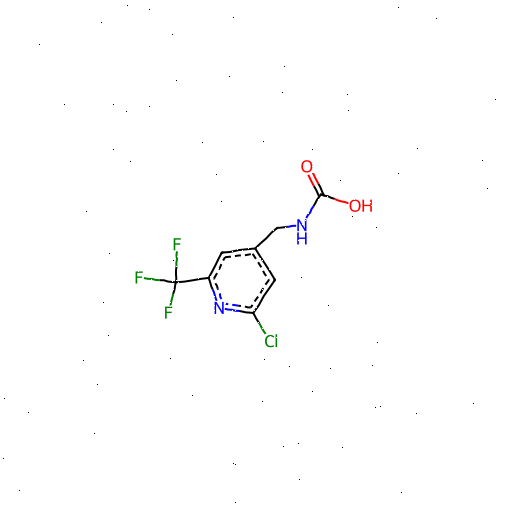 O=C(O)NCc1cc(Cl)nc(C(F)(F)F)c1